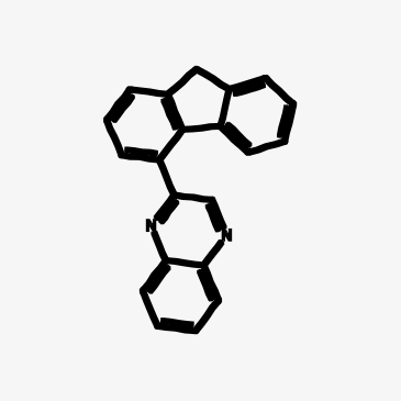 c1ccc2c(c1)Cc1cccc(-c3cnc4ccccc4n3)c1-2